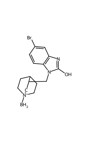 B[N+]12CCC(CC1)C(Cn1c(O)nc3cc(Br)ccc31)C2